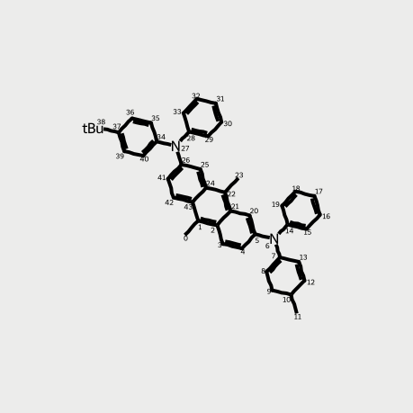 Cc1c2ccc(N(C3=CCC(C)C=C3)c3ccccc3)cc2c(C)c2cc(N(c3ccccc3)c3ccc(C(C)(C)C)cc3)ccc12